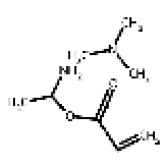 C=CC(=O)OC(C)N.CN(C)C